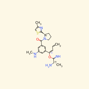 C=C/C=C(/OC(=N)[C@H](C)N)c1cc(NC)cc(C(=O)N2CCC[C@@H]2c2nc(C)cs2)c1